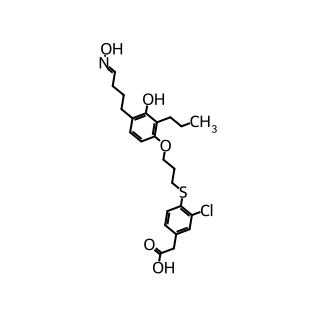 CCCc1c(OCCCSc2ccc(CC(=O)O)cc2Cl)ccc(CCCC=NO)c1O